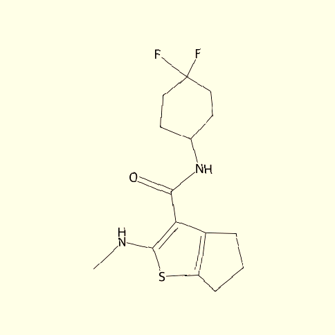 CNc1sc2c(c1C(=O)NC1CCC(F)(F)CC1)CCC2